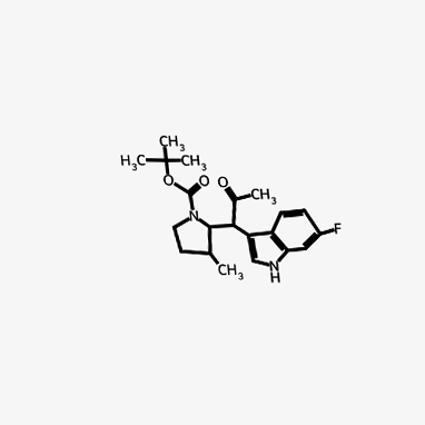 CC(=O)C(c1c[nH]c2cc(F)ccc12)C1C(C)CCN1C(=O)OC(C)(C)C